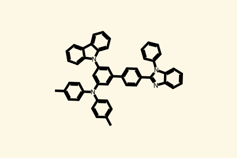 Cc1ccc(N(c2ccc(C)cc2)c2cc(-c3ccc(-c4nc5ccccc5n4-c4ccccc4)cc3)cc(-n3c4ccccc4c4ccccc43)c2)cc1